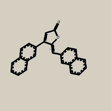 O=C1C=C(c2ccc3ccccc3c2)/C(=C/c2ccc3ccccc3c2)O1